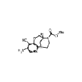 CC(C)(C)OC(=O)N1CCN2C[C@@H]1COc1c2ncc(N)c1C#N